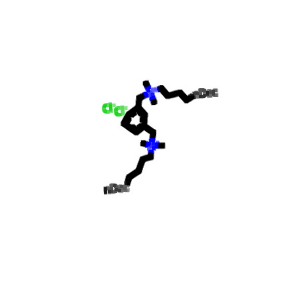 CCCCCCCCCCCCCC[N+](C)(C)Cc1cccc(C[N+](C)(C)CCCCCCCCCCCCCC)c1.[Cl-].[Cl-]